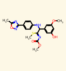 COC(=O)N=C(SC)C(Nc1ccc(-c2noc(C)n2)cc1)c1cc(O)cc(OC)c1